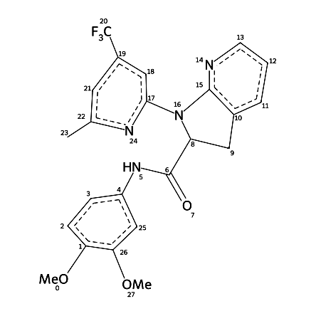 COc1ccc(NC(=O)C2Cc3cccnc3N2c2cc(C(F)(F)F)cc(C)n2)cc1OC